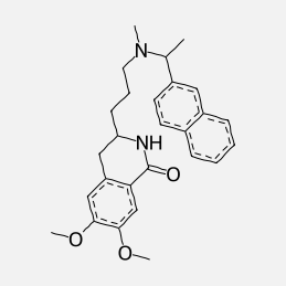 COc1cc2c(cc1OC)C(=O)NC(CCCN(C)C(C)c1ccc3ccccc3c1)C2